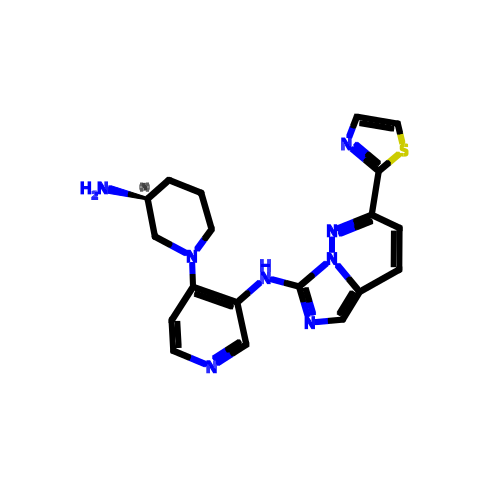 N[C@H]1CCCN(c2ccncc2Nc2ncc3ccc(-c4nccs4)nn23)C1